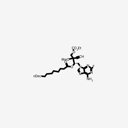 C#CC(COC(=O)OCC)(OC)[C@H](Cn1cnc2c(N)nc(F)nc21)OC(=O)CCCCCCCCCCCCCCCCC